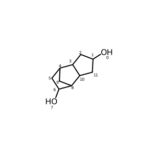 OC1CC2C3CC(O)C(C3)C2C1